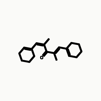 CC(=CC1=CCCCC1)C(=O)C(C)=CC1=CCCCC1